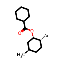 CC(=O)[C@@H]1CC[C@@H](C)C[C@H]1OC(=O)C1CCCCC1